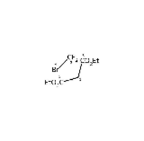 CCOC(=O)CC(=O)OCC.FC(F)(F)Br